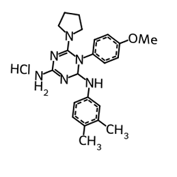 COc1ccc(N2C(N3CCCC3)=NC(N)=NC2Nc2ccc(C)c(C)c2)cc1.Cl